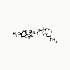 C/C=C/CC[C@@H](CC)OCCOS(=O)(=O)c1ccc(C)cc1